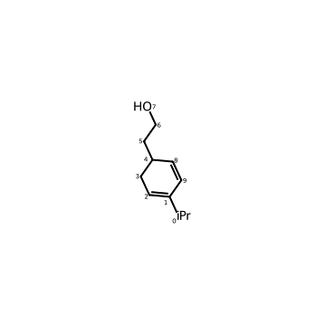 CC(C)C1=CCC(CCO)C=C1